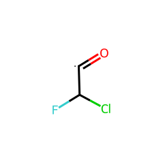 O=[C]C(F)Cl